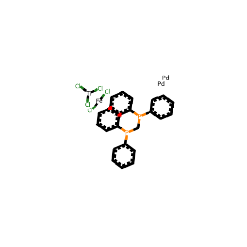 [Cl][Fe][Cl].[Cl][Ti]([Cl])[Cl].[Pd].[Pd].c1ccc(P(CP(c2ccccc2)c2ccccc2)c2ccccc2)cc1